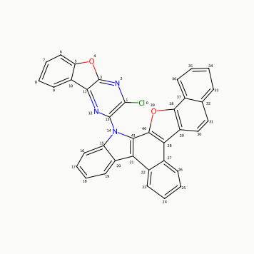 Clc1nc2oc3ccccc3c2nc1-n1c2ccccc2c2c3ccccc3c3c4ccc5ccccc5c4oc3c21